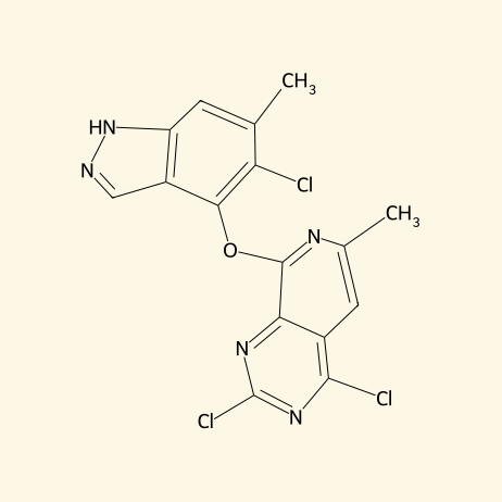 Cc1cc2c(Cl)nc(Cl)nc2c(Oc2c(Cl)c(C)cc3[nH]ncc23)n1